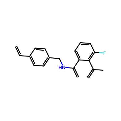 C=Cc1ccc(CNC(=C)c2cccc(F)c2C(=C)C)cc1